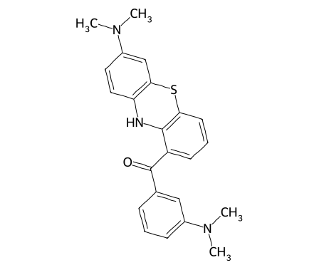 CN(C)c1cccc(C(=O)c2cccc3c2Nc2ccc(N(C)C)cc2S3)c1